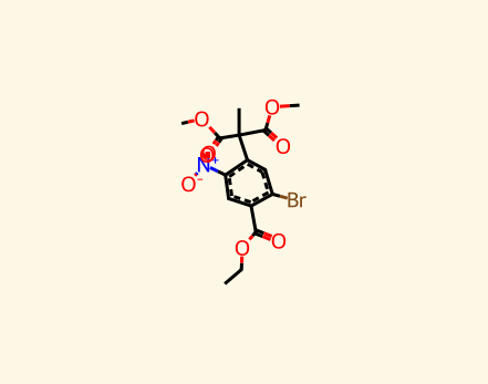 CCOC(=O)c1cc([N+](=O)[O-])c(C(C)(C(=O)OC)C(=O)OC)cc1Br